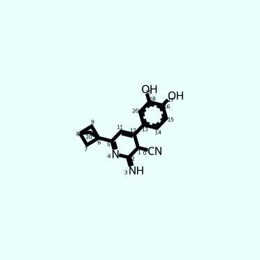 N#CC1C(=N)N=C(C23CC(C2)C3)C=C1c1ccc(O)c(O)c1